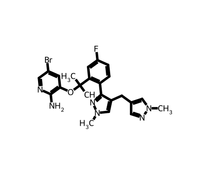 Cn1cc(Cc2cn(C)nc2-c2ccc(F)cc2C(C)(C)Oc2cc(Br)cnc2N)cn1